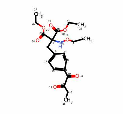 CCONC(Cc1ccc(C(=O)C(=O)CC)cc1)(C(=O)OCC)C(=O)OCC